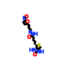 O=Nc1ccc(/C=C/C=N/NC(=O)CCCC[C@@H]2SCC3NC(=O)NC32)o1